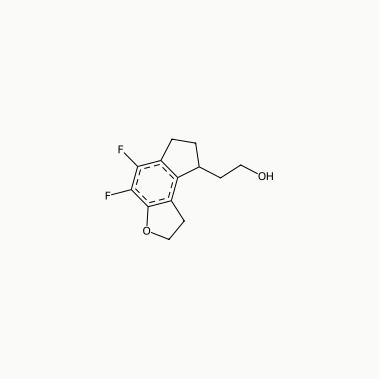 OCCC1CCc2c(F)c(F)c3c(c21)CCO3